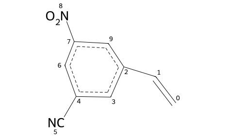 C=Cc1cc(C#N)cc([N+](=O)[O-])c1